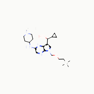 C[Si](C)(C)CCOCn1cc(C(O)C2CC2)c2nc(NC3CCN(C(=O)O)CC3)cnc21